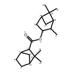 CC1C(OC(=O)C2C3CCC(C3)C2(C)C)CC2CC1C2(C)C